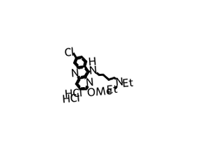 CCN(CC)CCCCNc1c2ccc(Cl)cc2nc2ccc(OC)nc12.Cl.Cl